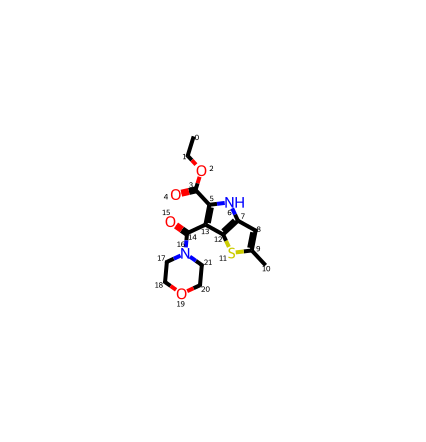 CCOC(=O)c1[nH]c2cc(C)sc2c1C(=O)N1CCOCC1